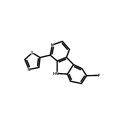 Fc1ccc2[nH]c3c(-c4cncs4)nccc3c2c1